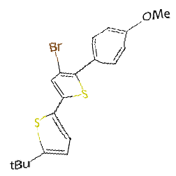 COc1ccc(-c2sc(-c3ccc(C(C)(C)C)s3)cc2Br)cc1